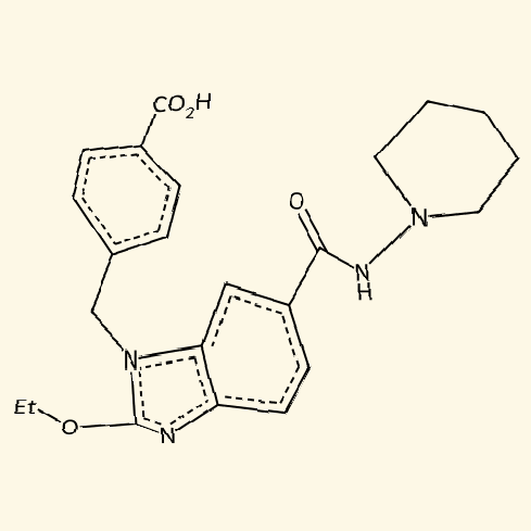 CCOc1nc2ccc(C(=O)NN3CCCCC3)cc2n1Cc1ccc(C(=O)O)cc1